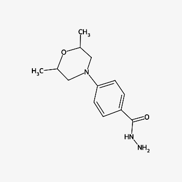 CC1CN(c2ccc(C(=O)NN)cc2)CC(C)O1